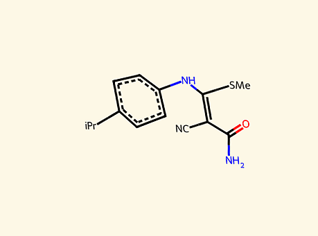 CSC(Nc1ccc(C(C)C)cc1)=C(C#N)C(N)=O